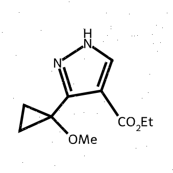 CCOC(=O)c1c[nH]nc1C1(OC)CC1